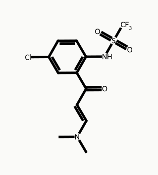 CN(C)C=CC(=O)c1cc(Cl)ccc1NS(=O)(=O)C(F)(F)F